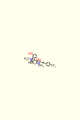 CN1CC[C@@]23c4c5ccc(O)c4C[C@@H]1[C@@H]2CC[C@@H](N(C)C(=O)C#Cc1ccc(C(F)(F)F)cc1)[C@@H]3O5